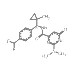 CN(C)c1nc(C(=O)N[C@@H](c2ccc(C(F)F)cc2)C2(C)CC2)cc(=O)[nH]1